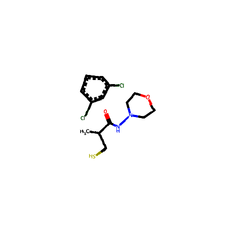 CC(CS)C(=O)NN1CCOCC1.Clc1cccc(Cl)c1